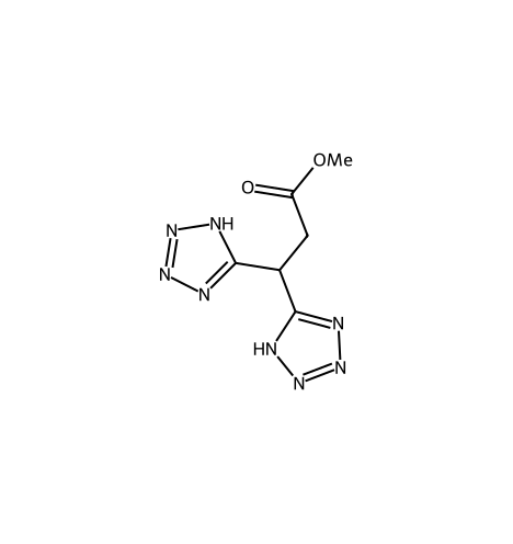 COC(=O)CC(c1nnn[nH]1)c1nnn[nH]1